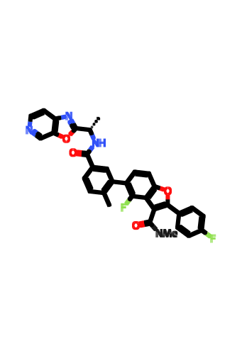 CNC(=O)c1c(-c2ccc(F)cc2)oc2ccc(-c3cc(C(=O)N[C@@H](C)c4nc5ccncc5o4)ccc3C)c(F)c12